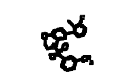 Cc1c(F)cccc1-c1ccc2c(c1)N(S(=O)(=O)c1cccc(C(F)(F)F)c1)CCO2